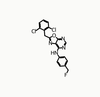 FCc1ccc(Nc2ncnc3oc(Cc4c(Cl)cccc4Cl)nc23)cc1